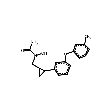 NC(=O)N(O)CC1CC1c1cccc(Oc2cccc(C(F)(F)F)c2)c1